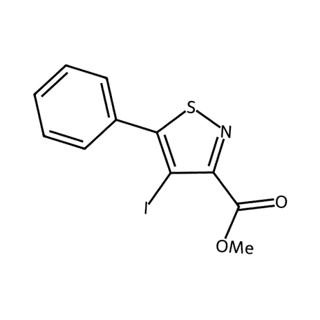 COC(=O)c1nsc(-c2ccccc2)c1I